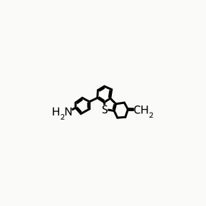 C=C1CCc2sc3c(-c4ccc(N)cc4)cccc3c2C1